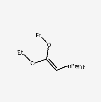 CCCCCC=C(OCC)OCC